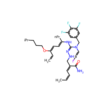 C=C/C(=C\C=C(/CCC)N/C(=N/NC/C(=C/C=C\C)C(N)=O)N(C=BI)Cc1cc(F)c(F)c(F)c1)OCCCC(C)C